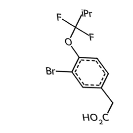 CC(C)C(F)(F)Oc1ccc(CC(=O)O)cc1Br